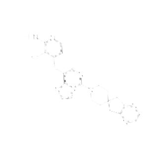 Nc1nccc(Sc2cnc(N3CCC4(CC3)Cc3nccnc3C4)n3ccnc23)c1Cl